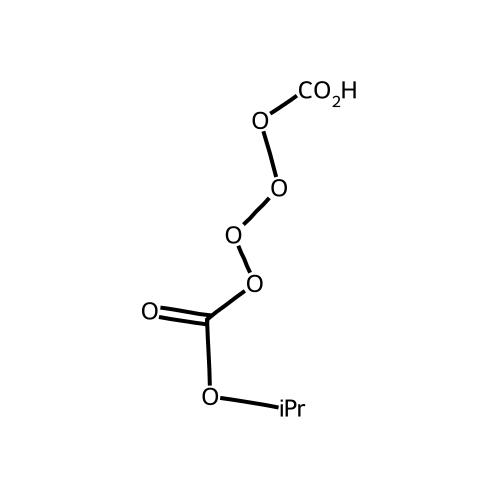 CC(C)OC(=O)OOOOC(=O)O